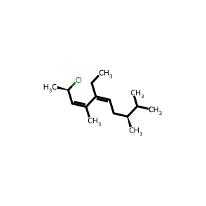 CCC(=C/C[C@H](C)C(C)C)/C(C)=C\[C@@H](C)Cl